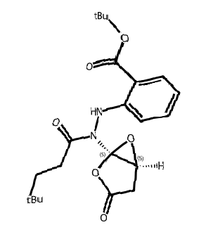 CC(C)(C)CCC(=O)N(Nc1ccccc1C(=O)OC(C)(C)C)[C@@]12OC(=O)C[C@@H]1O2